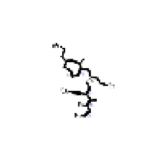 CCC#CC(=C\C[C@@H](CCC(C)C)C/C1=C/C=C/CC(CCC(C)C)=C=C1C)/C(C)=C(F)/C=C\CC